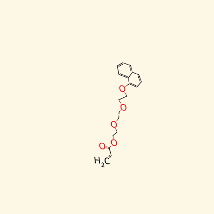 C=CC(=O)OCCOCCOCCOc1cccc2ccccc12